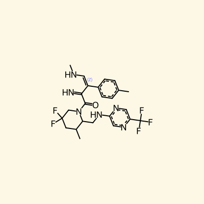 CN/C=C(\C(=N)C(=O)N1CC(F)(F)CC(C)C1CNc1cnc(C(F)(F)F)cn1)c1ccc(C)cc1